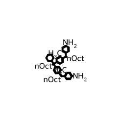 CCCCCCCCC(c1ccc(C(CCCCCCCC)(c2ccc(C(CCCCCCCC)c3ccc(N)cc3C)cc2)C2CCCCC2)cc1)c1ccc(N)cc1C